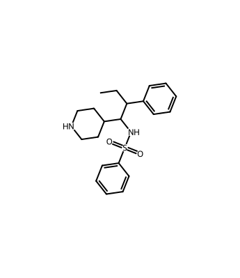 CCC(c1ccccc1)C(NS(=O)(=O)c1ccccc1)C1CCNCC1